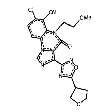 COCCn1c(=O)c2c(-c3noc(C4CCOC4)n3)ncn2c2ccc(Cl)c(C#N)c21